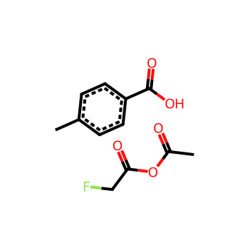 CC(=O)OC(=O)CF.Cc1ccc(C(=O)O)cc1